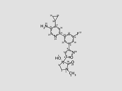 CN1CC[C@@](O)(c2cc(-c3cc(F)cc(-c4cc(C5CC5)c(N)cn4)c3)no2)C1=O